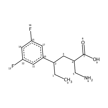 CCC(CC(CN)C(=O)O)c1cc(F)cc(F)c1